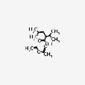 C=COC(C)=O.CC(C)CC(C(=O)O)C(C)C